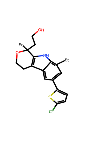 CCc1cc(-c2ccc(Cl)s2)cc2c3c([nH]c12)C(CC)(CCO)OCC3